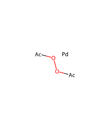 CC(=O)OOC(C)=O.[Pd]